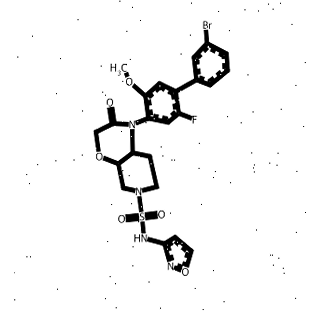 COc1cc(-c2cccc(Br)c2)c(F)cc1N1C(=O)COC2CN(S(=O)(=O)Nc3ccon3)CCC21